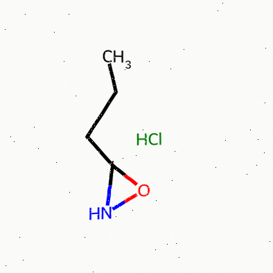 CCC[C]1NO1.Cl